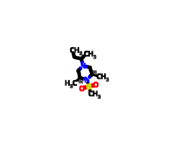 CCC(C)N1C[C@@H](C)N(S(C)(=O)=O)[C@@H](C)C1